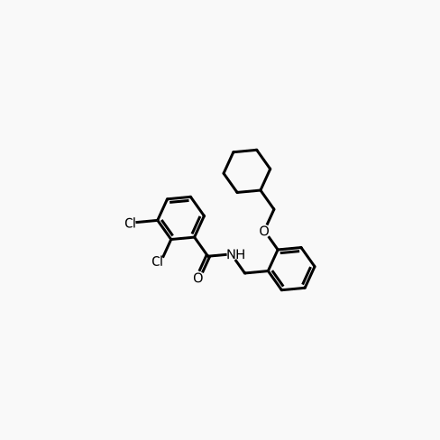 O=C(NCc1ccccc1OCC1CCCCC1)c1cccc(Cl)c1Cl